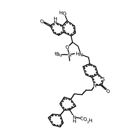 CC(C)(C)[Si](C)(C)OC(CNCc1ccc2c(c1)sc(=O)n2CCCCc1ccc(-c2ccccc2)c(NC(=O)O)c1)c1ccc(O)c2[nH]c(=O)ccc12